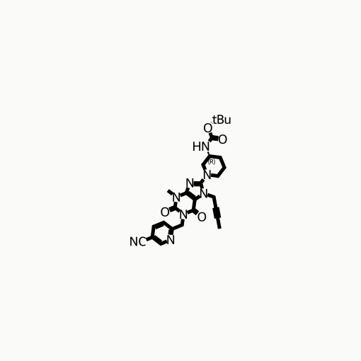 CC#CCn1c(N2CCC[C@@H](NC(=O)OC(C)(C)C)C2)nc2c1c(=O)n(Cc1ccc(C#N)cn1)c(=O)n2C